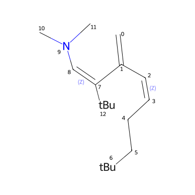 C=C(/C=C\CCC(C)(C)C)/C(=C\N(C)C)C(C)(C)C